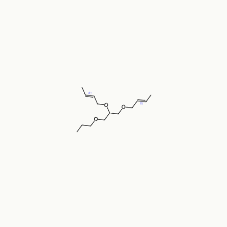 C/C=C/COCC(COCCC)OC/C=C/C